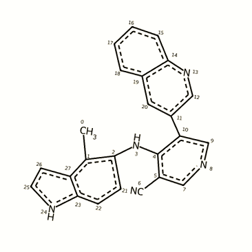 Cc1c(Nc2c(C#N)cncc2-c2cnc3ccccc3c2)ccc2[nH]ccc12